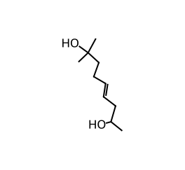 CC(O)CC=CCCC(C)(C)O